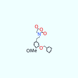 COc1ccc(CCN2CC(=O)OC2=O)cc1OCc1ccccc1